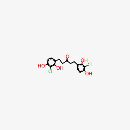 O=C(CCc1ccc(O)c(Cl)c1O)CCc1ccc(O)c(Cl)c1O